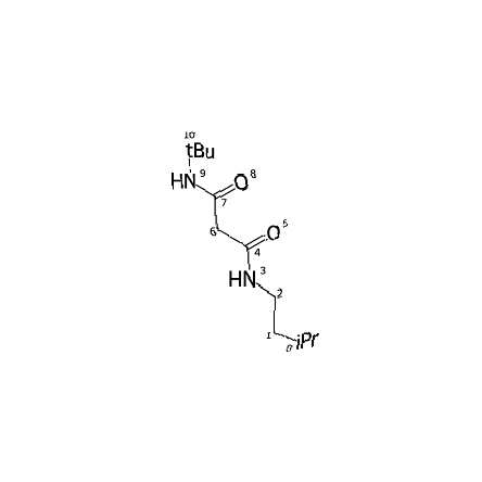 CC(C)CCNC(=O)CC(=O)NC(C)(C)C